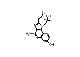 CCOCc1nc2c(N)nc3cc(O)ccc3c2n1CC(C)(C)O